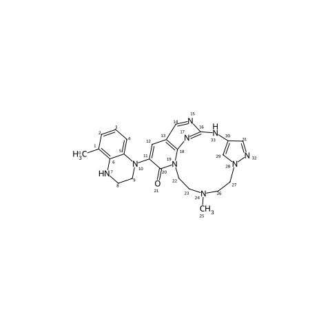 Cc1cccc2c1NCCN2c1cc2cnc3nc2n(c1=O)CCN(C)CCn1cc(cn1)N3